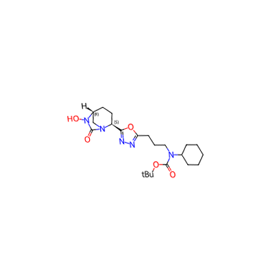 CC(C)(C)OC(=O)N(CCCc1nnc([C@@H]2CC[C@@H]3CN2C(=O)N3O)o1)C1CCCCC1